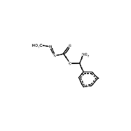 O=C(O)N=NC(=O)OC(c1ccccc1)[N+](=O)[O-]